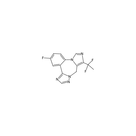 CC(F)(F)c1ncn2c1Cn1ncnc1-c1cc(F)ccc1-2